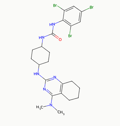 CN(C)c1nc(NC2CCC(NC(=O)Nc3c(Br)cc(Br)cc3Br)CC2)nc2c1CCCC2